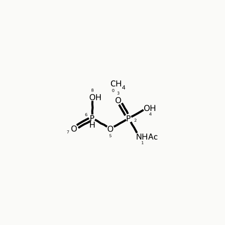 C.CC(=O)NP(=O)(O)O[PH](=O)O